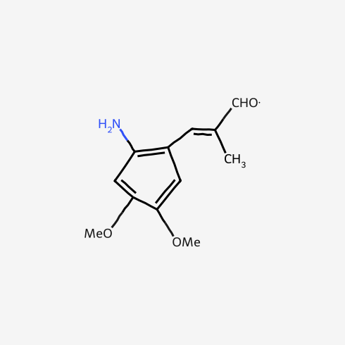 COc1cc(N)c(C=C(C)[C]=O)cc1OC